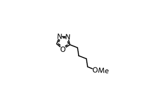 COCCCCc1nnco1